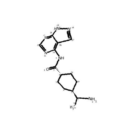 CC(N)[C@H]1CC[C@H](C(=O)Nc2ncnc3[nH]ncc23)CC1